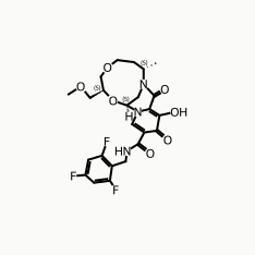 COC[C@H]1COCC[C@H](C)N2C[C@H](O1)n1cc(C(=O)NCc3c(F)cc(F)cc3F)c(=O)c(O)c1C2=O